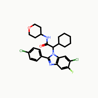 O=C(NC1CCOCC1)C(C1CCCCC1)n1c(-c2ccc(Cl)cc2)nc2cc(F)c(Cl)cc21